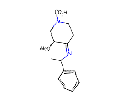 CO[C@H]1CN(C(=O)O)CC/C1=N/C(C)c1ccccc1